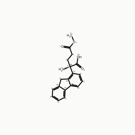 COC(=O)CC[C@](N)(C(=O)O)c1cccc2c1Cc1ccccc1-2